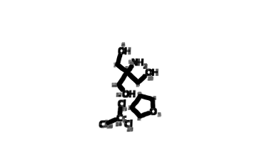 C1CCOC1.NC(CO)(CO)CO.[Cl][Cr]([Cl])[Cl]